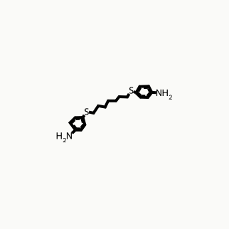 Nc1ccc(SCCCCCCCSc2ccc(N)cc2)cc1